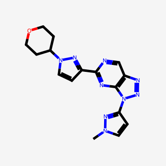 Cn1ccc(-n2nnc3cnc(-c4[c]cn(C5CCOCC5)n4)nc32)n1